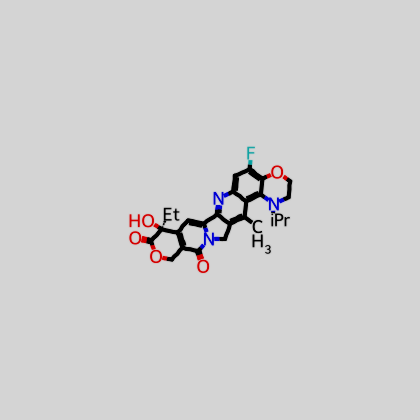 CC[C@@]1(O)C(=O)OCc2c1cc1n(c2=O)Cc2c-1nc1cc(F)c3c(c1c2C)N(C(C)C)CCO3